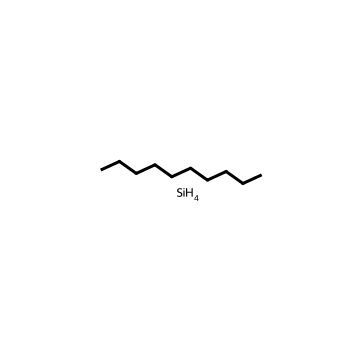 CCCCCCCCCC.[SiH4]